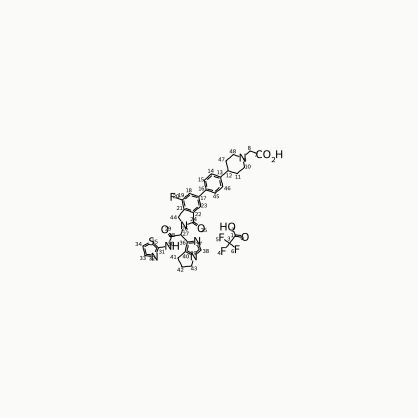 O=C(O)C(F)(F)F.O=C(O)CN1CCC(c2ccc(-c3cc(F)c4c(c3)C(=O)N(C(C(=O)Nc3nccs3)c3ncn5c3CCC5)C4)cc2)CC1